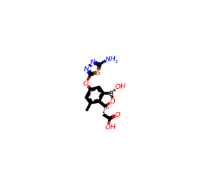 Cc1cc(Oc2nnc(N)s2)cc2c1[C@@H](CC(=O)O)OB2O